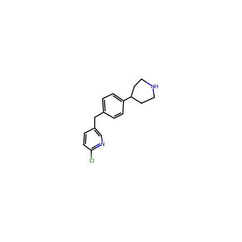 Clc1ccc(Cc2ccc(C3CCNCC3)cc2)cn1